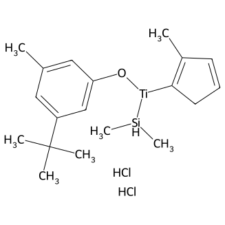 CC1=[C]([Ti]([O]c2cc(C)cc(C(C)(C)C)c2)[SiH](C)C)CC=C1.Cl.Cl